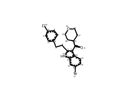 O=C(c1c(CCc2ccc(Cl)cc2)[nH]c2cc(Br)ccc12)C1CCOCC1